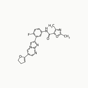 Cc1nc(C)c(C(=O)Nc2ccc(F)c(-c3cn4cc(C5=CCCO5)cnc4n3)c2)o1